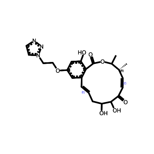 CC1OC(=O)c2c(O)cc(OCCn3ccnn3)cc2/C=C/CC(O)C(O)C(=O)/C=C\[C@H]1C